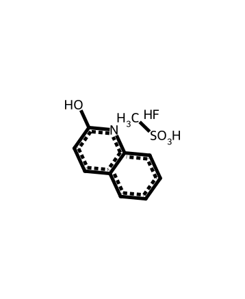 CS(=O)(=O)O.F.Oc1ccc2ccccc2n1